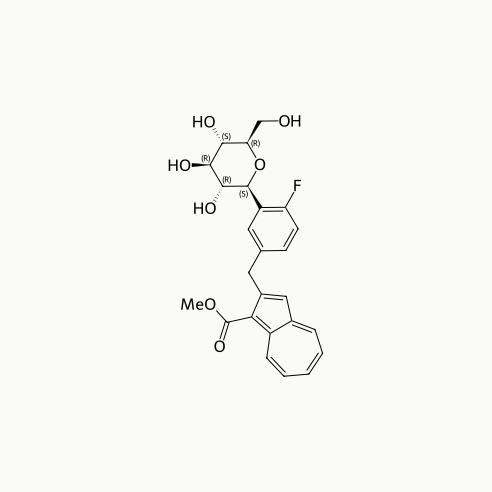 COC(=O)c1c(Cc2ccc(F)c([C@@H]3O[C@H](CO)[C@@H](O)[C@H](O)[C@H]3O)c2)cc2cccccc1-2